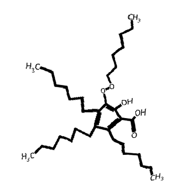 CCCCCCCOOc1c(O)c(C(=O)O)c(CCCCCCC)c(CCCCCCC)c1CCCCCCC